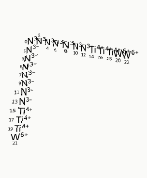 [N-3].[N-3].[N-3].[N-3].[N-3].[N-3].[N-3].[N-3].[N-3].[N-3].[N-3].[N-3].[N-3].[N-3].[Ti+4].[Ti+4].[Ti+4].[Ti+4].[Ti+4].[Ti+4].[W+6].[W+6].[W+6]